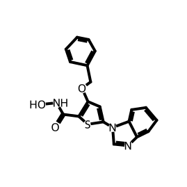 O=C(NO)c1sc(-n2cnc3ccccc32)cc1OCc1ccccc1